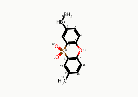 BBc1ccc2c(c1)S(=O)(=O)c1cc(C)ccc1O2